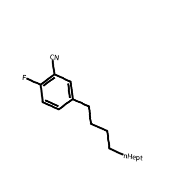 CCCCCCCCCCCc1ccc(F)c(C#N)c1